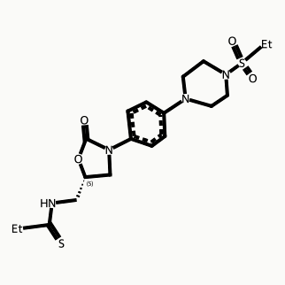 CCC(=S)NC[C@H]1CN(c2ccc(N3CCN(S(=O)(=O)CC)CC3)cc2)C(=O)O1